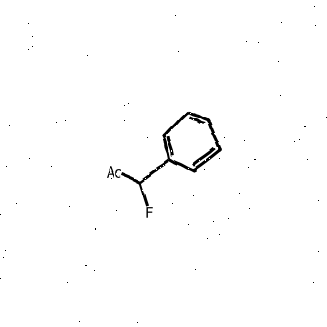 CC(=O)C(F)c1ccccc1